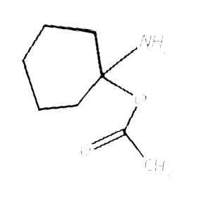 CC(=O)OC1(N)CCCCC1